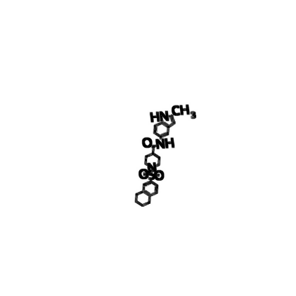 Cc1cc2cc(NC(=O)C3CCN(S(=O)(=O)c4ccc5c(c4)CCCC5)CC3)ccc2[nH]1